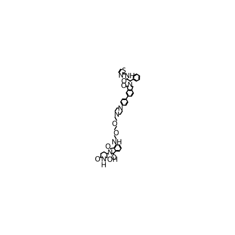 O=C1CCC(N2C(=O)c3cccc(NCCOCCOCCN4CCN(c5ccc(-c6ccc7c(c6)C(=O)N(C(C(=O)Nc6nccs6)c6ccccc6)C7)cc5)CC4)c3C2=O)C(O)N1